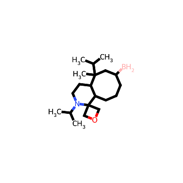 BC1CCCC2C(CCN(C(C)C)C23COC3)C(C)(C(C)C)C1